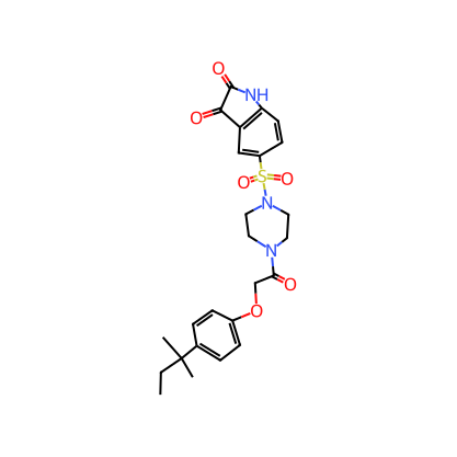 CCC(C)(C)c1ccc(OCC(=O)N2CCN(S(=O)(=O)c3ccc4c(c3)C(=O)C(=O)N4)CC2)cc1